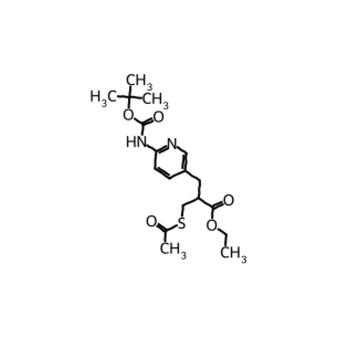 CCOC(=O)C(CSC(C)=O)Cc1ccc(NC(=O)OC(C)(C)C)nc1